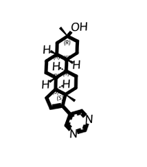 C[C@@]1(O)CC[C@H]2[C@H](CC[C@@H]3[C@@H]2CC[C@]2(C)C(c4cncnc4)=CC[C@@H]32)C1